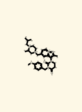 COc1ccc(CN2C(=O)CCN(c3c(C)nn4ccc(CN5CCN(CC(C)C)C(C)C5)cc34)C2=O)cc1